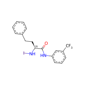 O=C(Nc1cccc(C(F)(F)F)c1)[C@H](CCc1ccccc1)NI